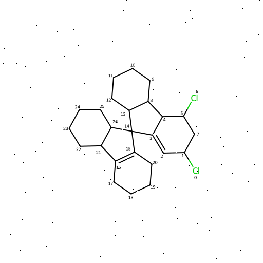 ClC1C=C2C(C(Cl)C1)C1CCCCC1C21C2=C(CCCC2)C2CCCCC21